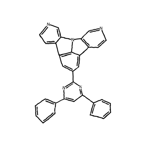 c1ccc(-c2cc(-c3ccccc3)nc(-c3cc4c5ccncc5n5c6cnccc6c(c3)c45)n2)cc1